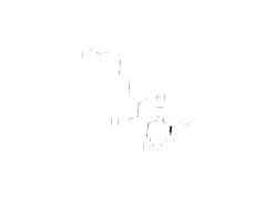 CCCCCCCCCCCCCCC(O)C(O)C(CO)NC(=O)CCC